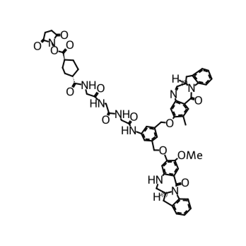 COc1cc2c(cc1OCc1cc(COc3cc4c(cc3C)C(=O)N3c5ccccc5C[C@H]3C=N4)cc(NC(=O)CNC(=O)CNC(=O)CNC(=O)[C@H]3CC[C@H](C(=O)ON4C(=O)CCC4=O)CC3)c1)NC[C@@H]1Cc3ccccc3N1C2=O